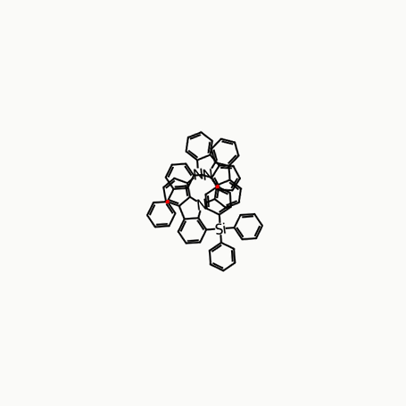 c1ccc(-c2cccc(-n3c4ccccc4c4cccc(-n5c6c(-n7c8ccccc8c8ccccc87)cccc6c6cccc([Si](c7ccccc7)(c7ccccc7)c7ccccc7)c65)c43)c2)cc1